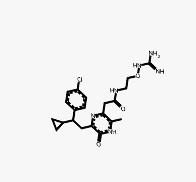 Cc1[nH]c(=O)c(CC(c2ccc(Cl)cc2)C2CC2)nc1CC(=O)NCCONC(=N)N